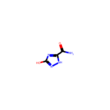 NC(=O)c1nc(O)n[nH]1